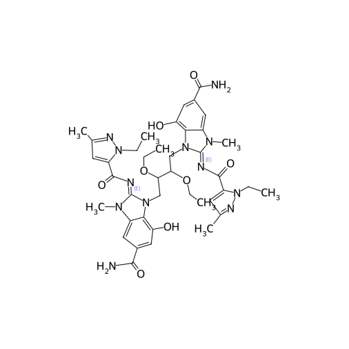 CCOC(Cn1/c(=N/C(=O)c2cc(C)nn2CC)n(C)c2cc(C(N)=O)cc(O)c21)C(Cn1/c(=N/C(=O)c2cc(C)nn2CC)n(C)c2cc(C(N)=O)cc(O)c21)OCC